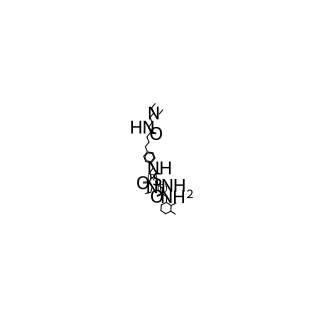 CCN(CC)CCNC(=O)CCCc1ccc(NC[C@H]2SC([C@H](N)C(=O)NC3CCCC(C)C3C)N(CC)C2=O)cc1